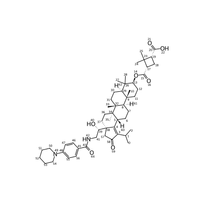 CC(C)C1=C2[C@H]3CC[C@@H]4[C@@]5(C)CC[C@H](OC(=O)[C@H]6C[C@@H](C(=O)O)C6(C)C)C(C)(C)[C@@H]5CC[C@@]4(C)[C@]3(C)CC[C@@]2([C@@H](O)CNC(=O)c2ccc(N3CCCCC3)cc2)CC1=O